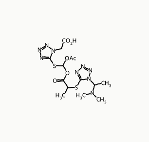 CC(=O)O[C](OC(=O)C(C)Sc1nnnn1C(C)N(C)C)Sc1nnnn1CC(=O)O